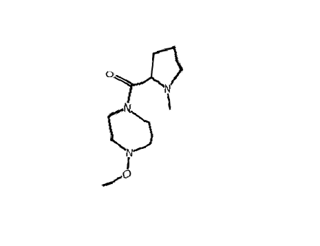 CON1CCN(C(=O)C2CCCN2C)CC1